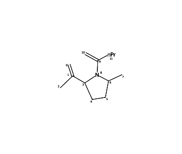 C=C(C)C1CCC(C)N1C(=C)CCC